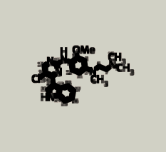 COc1cc(N(C)CCN(C)C)ccc1Nc1ncc(Cl)c(-c2c[nH]c3ccccc23)n1